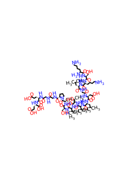 CC(C)C[C@H](NC(=O)[C@H](CCCCN)NC(=O)[C@H](CO)NC(=O)[C@@H](N)CCCCN)C(=O)NCC(=O)N[C@@H](CC(=O)O)C(=O)N[C@@H](CC(C)C)C(=O)N[C@H](C(=O)N[C@H](C(=O)N[C@H](C(=O)N[C@@H](CO)C(=O)N[C@@H](C)C(=O)N1CCC[C@H]1C(=O)NCC(=O)NCC(=O)N[C@@H](CCC(=O)O)C(=O)N[C@@H](CCC(=O)O)C(=O)O)C(C)C)[C@@H](C)O)C(C)C